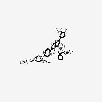 CCOC(=O)CN1CCN(c2cnc(-c3nc4nc(-c5ccc(F)c(C(F)(F)F)c5)cc(N(C)CC5(COC)CCCC5)c4[nH]3)cn2)[C@H](C)C1